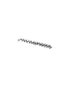 CCCCCCCCCCCCCCCCCCCCCCCCI